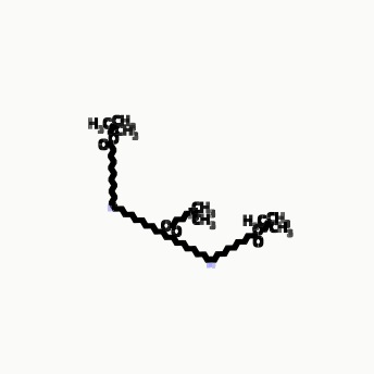 CN(C)CCCC(=O)OC(CCCCCCCC/C=C\CCCCCCCCCC(=O)OCC(C)(C)C)CCCCCCCC/C=C\CCCCCCCC(=O)OCC(C)(C)C